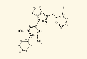 Nc1nc(-c2nn(Cc3ccccc3F)c3c2CCC3)nc(N)c1N1CCOCC1